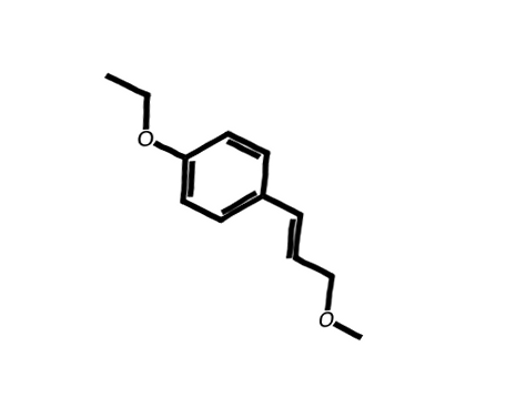 CCOc1ccc(C=CCOC)cc1